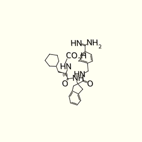 N=C(N)c1ccc(CNC(=O)C2(NC(=O)[C@@H](CC3CCCCC3)NCC(=O)O)Cc3ccccc3C2)cc1